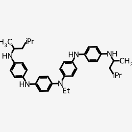 CCN(c1ccc(Nc2ccc(NC(C)CC(C)C)cc2)cc1)c1ccc(Nc2ccc(NC(C)CC(C)C)cc2)cc1